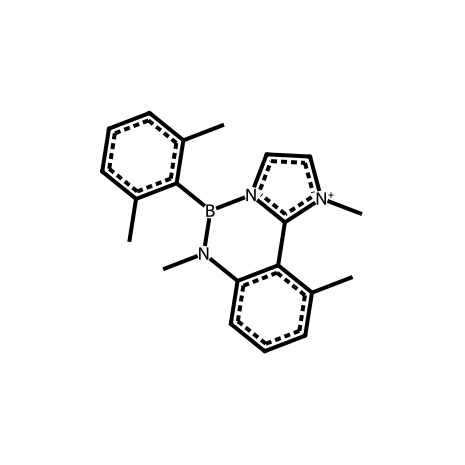 Cc1cccc(C)c1B1N(C)c2cccc(C)c2-c2n1cc[n+]2C